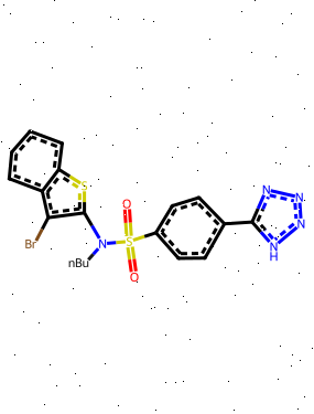 CCCCN(c1sc2ccccc2c1Br)S(=O)(=O)c1ccc(-c2nnn[nH]2)cc1